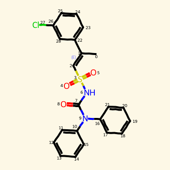 C/C(=C\S(=O)(=O)NC(=O)N(c1ccccc1)c1ccccc1)c1cccc(Cl)c1